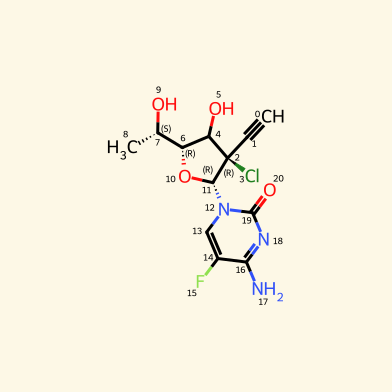 C#C[C@@]1(Cl)C(O)[C@@H]([C@H](C)O)O[C@H]1n1cc(F)c(N)nc1=O